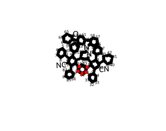 N#Cc1c(-c2ccccc2)c(-c2ccccc2)c(-c2cc(-c3c(-c4ccccc4)c(-c4ccccc4)c(C#N)c(-c4ccccc4)c3-c3ccccc3)nc(-n3c4ccccc4c4cc5oc6ccccc6c5cc43)c2)c(-c2ccccc2)c1-c1ccccc1